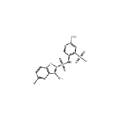 CCS(=O)(=O)c1cc(C(=O)O)ccc1NS(=O)(=O)c1sc2ccc(Cl)cc2c1C